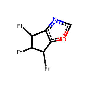 CCC1c2ncoc2C(CC)C1CC